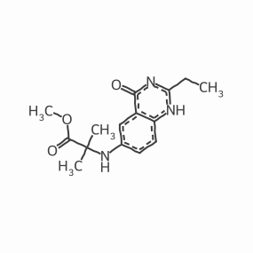 CCc1nc(=O)c2cc(NC(C)(C)C(=O)OC)ccc2[nH]1